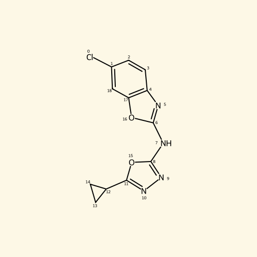 Clc1ccc2nc(Nc3nnc(C4CC4)o3)oc2c1